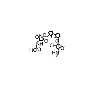 CCNCc1cc(Cl)c(OCc2cccc(-c3cccc(COc4nc(OC)c(CNCC(=O)O)cc4Cl)c3C)c2C)nc1OC